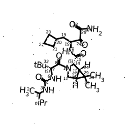 CC(C)C(C)NC(=O)N[C@H](C(=O)N1C[C@@H]2[C@H]([C@H]1C(=O)NC(CC1CCC1)C(=O)C(N)=O)C2(C)C)C(C)(C)C